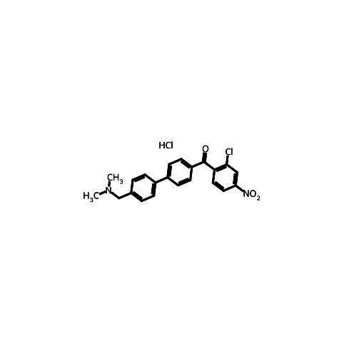 CN(C)Cc1ccc(-c2ccc(C(=O)c3ccc([N+](=O)[O-])cc3Cl)cc2)cc1.Cl